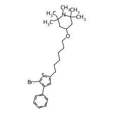 CN1C(C)(C)CC(OCCCCCCc2cc(-c3ccccc3)c(Br)s2)CC1(C)C